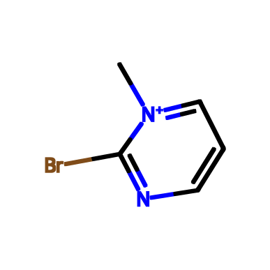 C[n+]1cccnc1Br